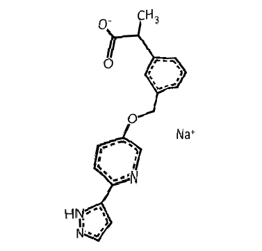 CC(C(=O)[O-])c1cccc(COc2ccc(-c3ccn[nH]3)nc2)c1.[Na+]